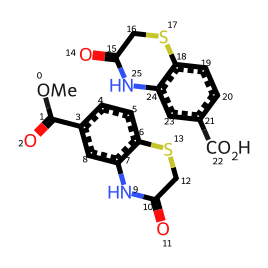 COC(=O)c1ccc2c(c1)NC(=O)CS2.O=C1CSc2ccc(C(=O)O)cc2N1